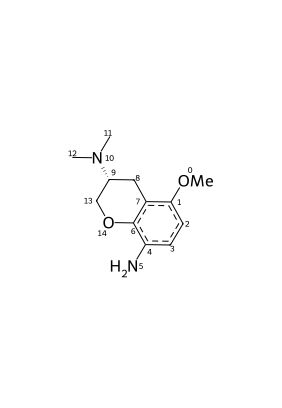 COc1ccc(N)c2c1C[C@@H](N(C)C)CO2